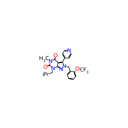 CC(C)Cn1c(=O)n(C)c(=O)c2c(-c3ccncc3)n(Cc3ccccc3OC(F)(F)F)nc21